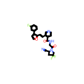 N#CC1CC(F)(F)CN1C(=O)CNC(=O)c1ccncc1C=Cc1occc1-c1cccc(F)c1